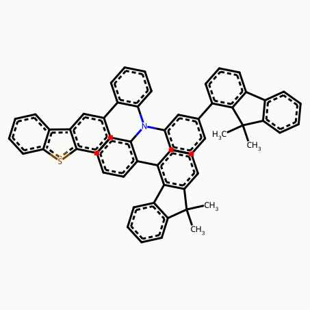 CC1(C)c2ccccc2-c2c(-c3ccccc3N(c3cccc(-c4cccc5c4C(C)(C)c4ccccc4-5)c3)c3ccccc3-c3ccc4sc5ccccc5c4c3)cccc21